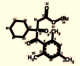 Cc1cc(C)c(C(=O)P(=O)(CC(=O)OC(C)(C)C)C2CCCCC2)c(C)c1